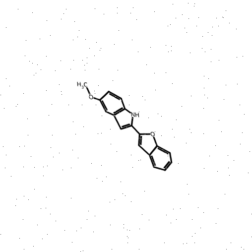 COc1ccc2[nH]c(-c3cc4ccccc4o3)cc2c1